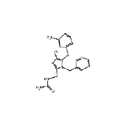 CC(C)c1nc(CNC(N)=O)n(Cc2cccnc2)c1Sc1cccc([N+](=O)[O-])c1